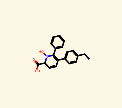 CCc1ccc(C2=C(c3ccccc3)N(O)C(C(=O)O)C=C2)cc1